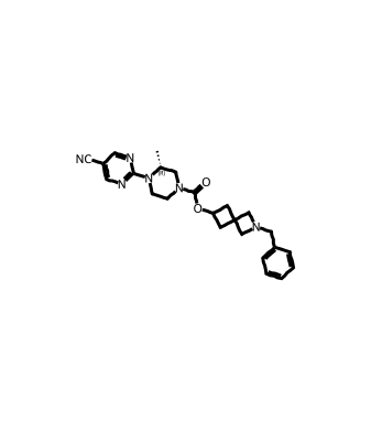 C[C@@H]1CN(C(=O)OC2CC3(C2)CN(Cc2ccccc2)C3)CCN1c1ncc(C#N)cn1